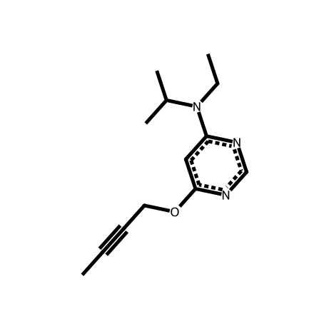 CC#CCOc1cc(N(CC)C(C)C)ncn1